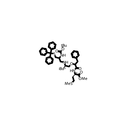 CC[C@H](C)C(COC(Cc1ccccc1)C(=O)N[C@H](CCSC)C(=O)OC)NCC(CSC(c1ccccc1)(c1ccccc1)c1ccccc1)NC(=O)OC(C)(C)C